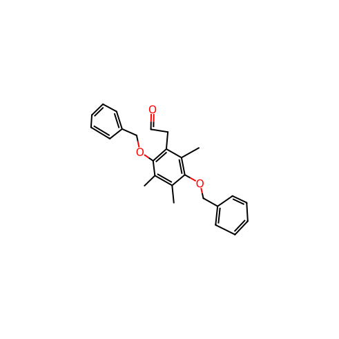 Cc1c(C)c(OCc2ccccc2)c(CC=O)c(C)c1OCc1ccccc1